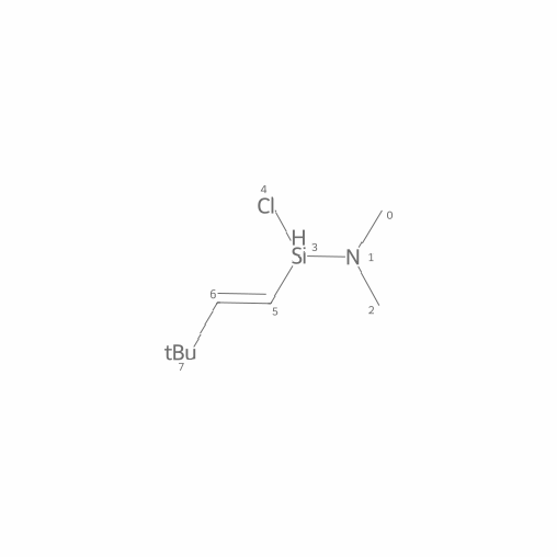 CN(C)[SiH](Cl)C=CC(C)(C)C